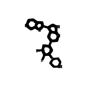 Fc1cc(-c2cnc3[nH]cc(-c4cc5ccncc5s4)c3c2)cc(N2CCNCC2)c1F